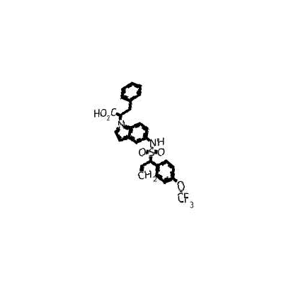 C=CC(c1ccc(OC(F)(F)F)cc1)S(=O)(=O)Nc1ccc2c(ccn2C(Cc2ccccc2)C(=O)O)c1